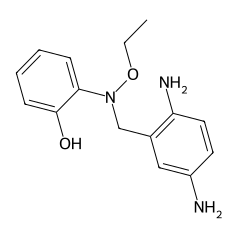 CCON(Cc1cc(N)ccc1N)c1ccccc1O